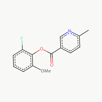 COc1cccc(F)c1OC(=O)c1ccc(C)nc1